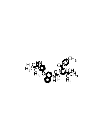 CN1CCN(C(=O)c2nc(NC(=O)N[C@H]3CC[C@@H](Oc4ccc5nnc(C(C)(C)C)n5c4)c4ccccc43)cc(C(C)(C)C)n2)CC1